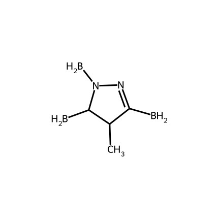 BC1=NN(B)C(B)C1C